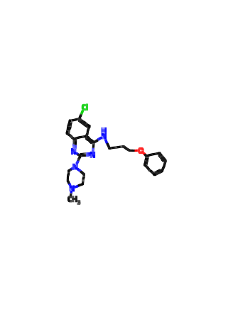 CN1CCN(c2nc(NCCCOc3ccccc3)c3cc(Cl)ccc3n2)CC1